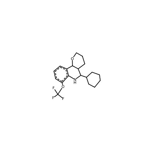 FC(F)(F)Oc1cccc2c1NC(C1CCCCC1)C1CCCOC21